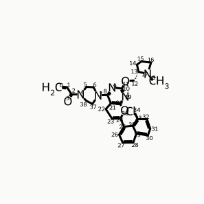 C=CC(=O)N1CCN(c2nc(OC[C@@H]3CCCN3C)nc3c2CC=C(c2cccc4cccc(Cl)c24)O3)CC1